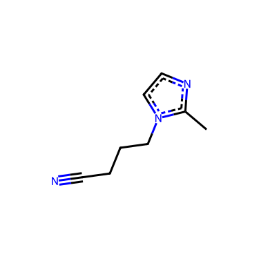 Cc1nccn1CCCC#N